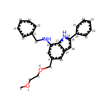 COCCOCc1cc(NCc2ccccc2)c2[nH]c(-c3ccccc3)cc2c1